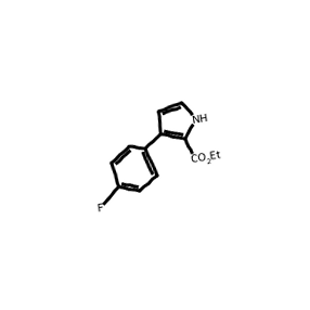 CCOC(=O)c1[nH]ccc1-c1ccc(F)cc1